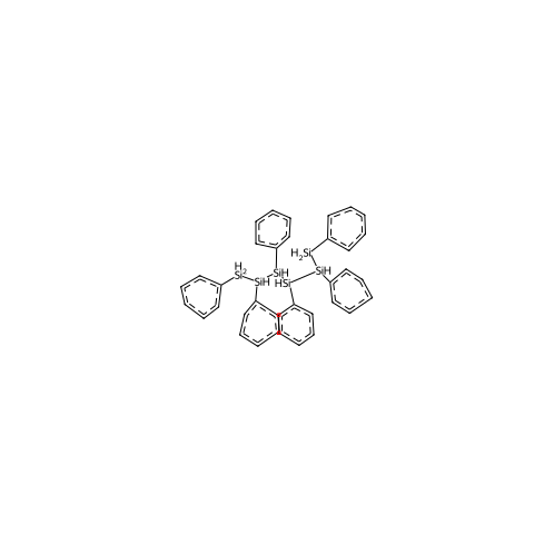 c1ccc([SiH2][SiH](c2ccccc2)[SiH](c2ccccc2)[SiH](c2ccccc2)[SiH]([SiH2]c2ccccc2)c2ccccc2)cc1